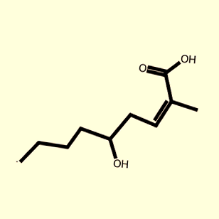 [CH2]CCCC(O)CC=C(C)C(=O)O